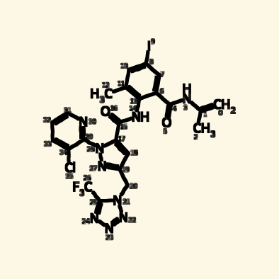 C=C(C)NC(=O)c1cc(I)cc(C)c1NC(=O)c1cc(Cn2nnnc2C(F)(F)F)nn1-c1ncccc1Cl